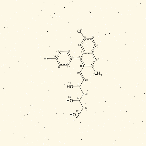 Cc1nc2ccc(Cl)cc2c(-c2ccc(F)cc2)c1C=CC(O)CC(O)CC(=O)O